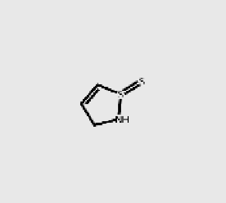 S=S1C=CCN1